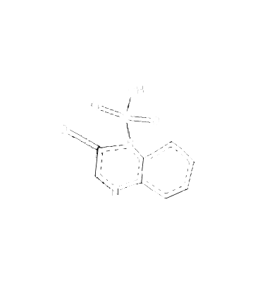 O=c1cnc2ccccc2n1S(=O)(=O)O